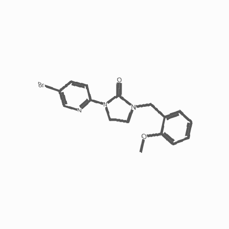 COc1ccccc1CN1CCN(c2ccc(Br)cn2)C1=O